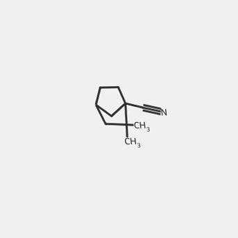 CC1(C)CC2CCC1(C#N)C2